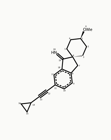 CO[C@H]1CC[C@]2(CC1)Cc1ccc(C#CC3CC3)cc1C2=N